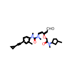 Cc1cc(C#CC2CC2)ccc1N(C)C(=O)N(C)/C=C\C(=C/C=O)OCC(=O)N(C)C1CCC(C)C1